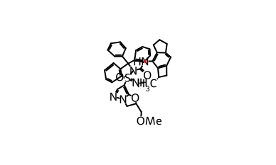 COCC1Cn2ncc(S(=N)(=O)N(C(=O)Nc3c4c(cc5c3[C@@H](C)C5)CCC4)C(c3ccccc3)(c3ccccc3)c3ccccc3)c2O1